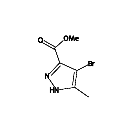 COC(=O)c1n[nH]c(C)c1Br